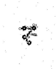 Cc1cccc2c1nc(COc1ccc(Cl)cc1)n2CCCCC(=O)N1CCCC[C@H]1CCN1CCCCC1.Cl.Cl